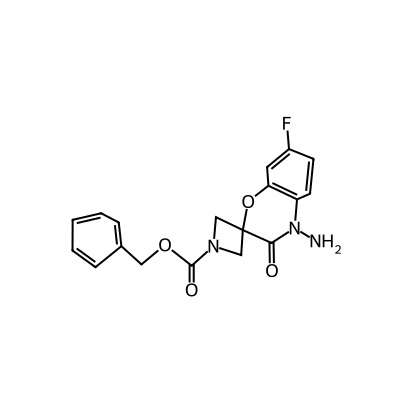 NN1C(=O)C2(CN(C(=O)OCc3ccccc3)C2)Oc2cc(F)ccc21